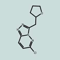 Clc1ccc2nnc(CC3CCCO3)n2n1